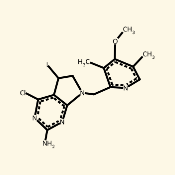 COc1c(C)cnc(CN2CC(I)c3c(Cl)nc(N)nc32)c1C